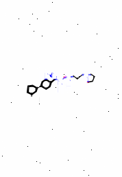 Cc1cccc(-c2ccc3c(NC(=O)NCCCN4CCCC4=O)n[nH]c3c2)c1